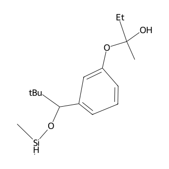 CCC(C)(O)Oc1cccc(C(O[SiH](C)C)C(C)(C)C)c1